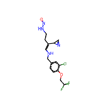 O=NNCC/C(=C/NCc1ccc(OCC(F)F)c(Cl)c1)C1C=N1